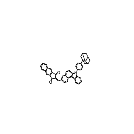 O=C1C(=Cc2ccc3c(ccc4c3c3ccccc3n4-c3ccc(C45CC6CC(CC(C6)C4)C5)cc3)c2)C(=O)c2cc3ccccc3cc21